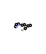 N#Cc1ccc(-c2cc3ccccc3cc2-c2ccc3cc(-c4ccc5ccc6cccnc6c5n4)ccc3c2)cc1